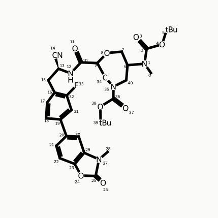 CN(C(=O)OC(C)(C)C)C1COC(C(=O)N[C@H](C#N)Cc2ccc(-c3ccc4oc(=O)n(C)c4c3)cc2F)CN(C(=O)OC(C)(C)C)C1